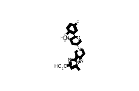 Cc1cc(C(=O)O)nc2c3c(nn12)CCN([C@H]1CO[C@H](c2cc(F)ccc2F)[C@@H](N)C1)C3